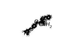 Cc1cc(COc2ccc(C(=O)NC[C@](O)(C(N)=O)N3CCN(Cc4ccccc4)C3)cc2)cc(C)n1